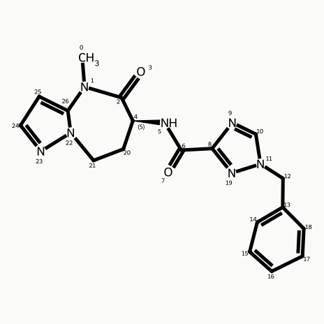 CN1C(=O)[C@@H](NC(=O)c2ncn(Cc3ccccc3)n2)CCn2nccc21